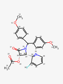 COc1ccc(C(c2ccc(OC)cc2)N2C(=O)[C@@H](OC(C)=O)[C@H]2c2ncccc2F)cc1